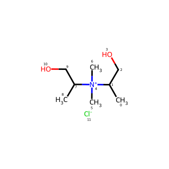 CC(CO)[N+](C)(C)C(C)CO.[Cl-]